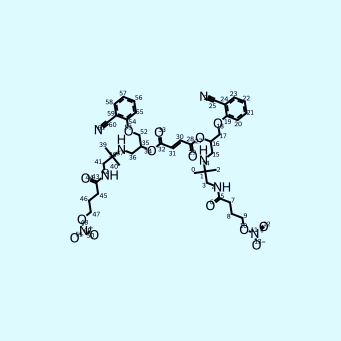 CC(C)(CNC(=O)CCCO[N+](=O)[O-])NCC(COc1ccccc1C#N)OC(=O)/C=C/C(=O)OC(CNC(C)(C)CNC(=O)CCCO[N+](=O)[O-])COc1ccccc1C#N